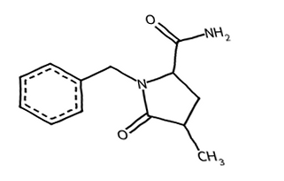 CC1CC(C(N)=O)N(Cc2ccccc2)C1=O